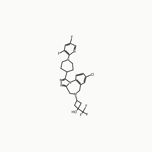 OC1(C(F)(F)F)CC(N2Cc3cc(Cl)ccc3-n3c(nnc3C3CCN(c4ncc(F)cc4F)CC3)C2)C1